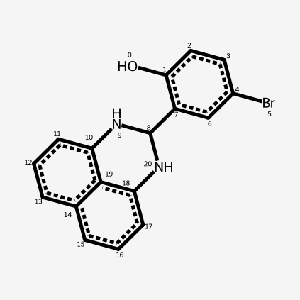 Oc1ccc(Br)cc1C1Nc2cccc3cccc(c23)N1